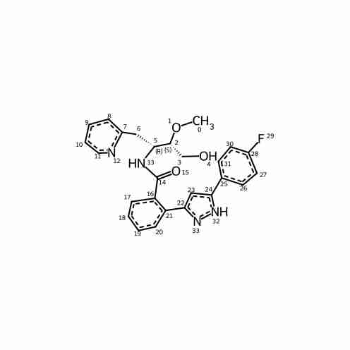 CO[C@H](CO)[C@@H](Cc1ccccn1)NC(=O)c1ccccc1-c1cc(-c2ccc(F)cc2)[nH]n1